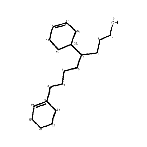 OCCCC(CCCCC1=CCCCC1)C1CC=CCC1